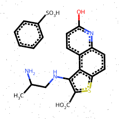 CC(N)CNc1c(C(=O)O)sc2ccc3nc(O)ccc3c12.O=S(=O)(O)c1ccccc1